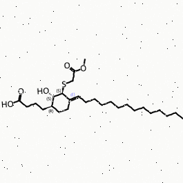 CCCCCCCCCCCCC/C=C1\CC[C@@H](CCCC(=O)O)[C@H](O)[C@H]1SCC(=O)OC